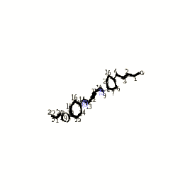 CCCCC[C@H]1CC[C@H](/C=C/C#C/C=C/[C@H]2CC[C@H](OCCC)CC2)CC1